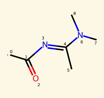 [CH2]C(=O)/N=C(\C)N(C)C